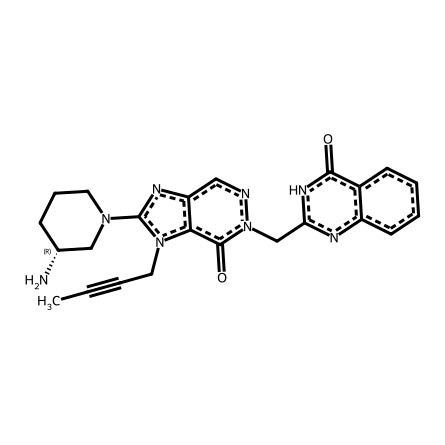 CC#CCn1c(N2CCC[C@@H](N)C2)nc2cnn(Cc3nc4ccccc4c(=O)[nH]3)c(=O)c21